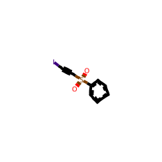 O=S(=O)(C#CI)c1ccccc1